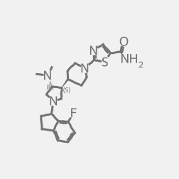 CN(C)[C@H]1CN(C2CCc3cccc(F)c32)C[C@@H]1C1CCN(c2ncc(C(N)=O)s2)CC1